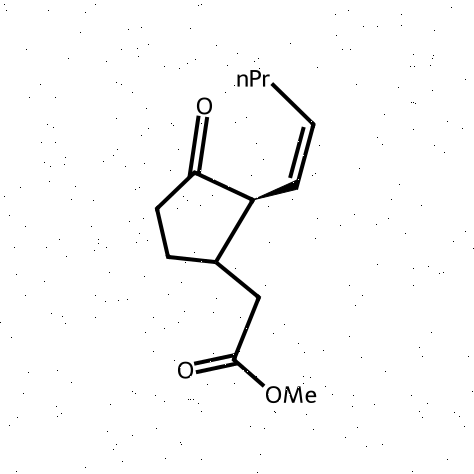 CCC/C=C\[C@@H]1C(=O)CCC1CC(=O)OC